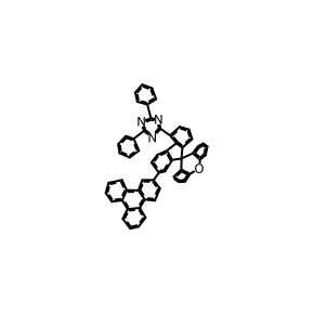 c1ccc(-c2nc(-c3ccccc3)nc(-c3cccc4c3-c3ccc(-c5ccc6c7ccccc7c7ccccc7c6c5)cc3C43c4ccccc4Oc4ccccc43)n2)cc1